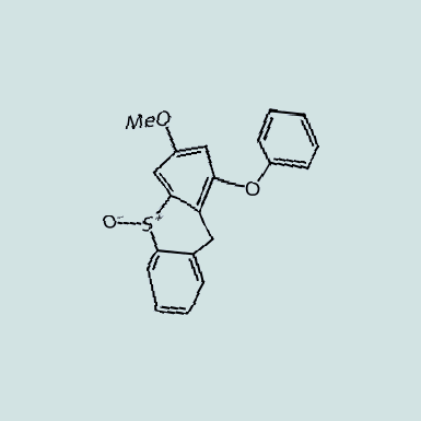 COc1cc(Oc2ccccc2)c2c(c1)[S+]([O-])c1ccccc1C2